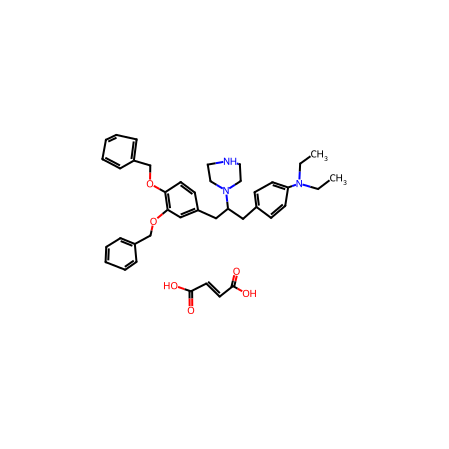 CCN(CC)c1ccc(CC(Cc2ccc(OCc3ccccc3)c(OCc3ccccc3)c2)N2CCNCC2)cc1.O=C(O)/C=C/C(=O)O